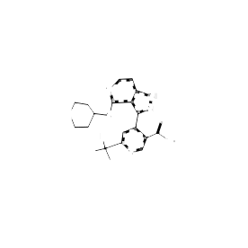 O=C(O)c1cnc(C(F)(F)F)cc1-c1n[nH]c2ccnc(NC3CCOCC3)c12